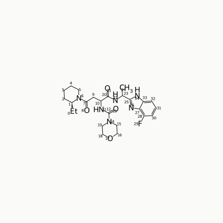 CC[C@H]1CCCCN1C(=O)CC(NC(=O)N1CCOCC1)C(=O)NC(C)c1nc2c(F)cccc2[nH]1